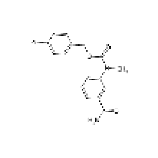 CC(C)c1ccc(COC(=O)N(C)c2cccc(C(N)=O)c2)cc1